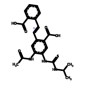 CC(=O)Nc1cc(/C=C/c2ccccc2C(=O)O)c(C(=O)O)cc1NC(=S)NC(C)C